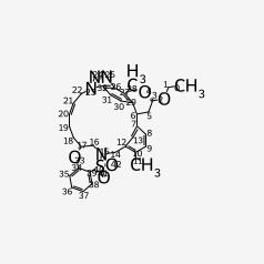 CCOC(=O)CC1c2ccc(C)c(c2)CN2CC(CCC=CCn3nnc4c(C)c1ccc43)Oc1ccccc1S2(=O)=O